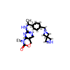 CCN1C(=O)OCc2cnc(NC(C)c3ccc(CN4CC5(CNC5)C4)cc3)nc21